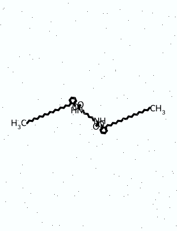 CCCCCCCCCCCCCCCCCCc1ccccc1OC(=O)NCCCCCCNC(=O)Oc1ccccc1CCCCCCCCCCCCCCCCCC